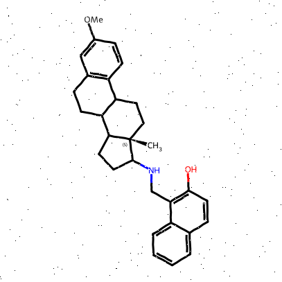 COc1ccc2c(c1)CCC1C2CC[C@]2(C)C(NCc3c(O)ccc4ccccc34)CCC12